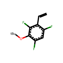 C=Cc1c(F)cc(F)c(OC(C)(C)C)c1F